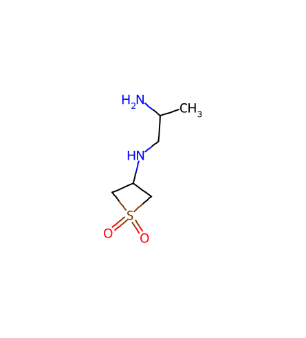 CC(N)CNC1CS(=O)(=O)C1